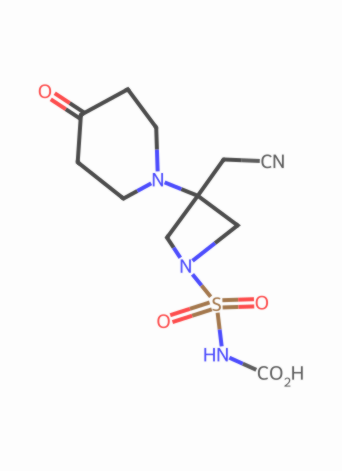 N#CCC1(N2CCC(=O)CC2)CN(S(=O)(=O)NC(=O)O)C1